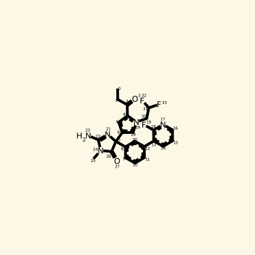 CCC(=O)c1cc(C2(c3cccc(-c4cccnc4F)c3)N=C(N)N(C)C2=O)cn1CC(F)F